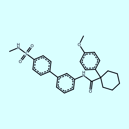 CNS(=O)(=O)c1ccc(-c2cccc(NC(=O)C3(c4ccc(OC)cc4)CCCCC3)c2)cc1